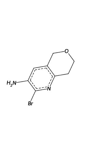 Nc1cc2c(nc1Br)CCOC2